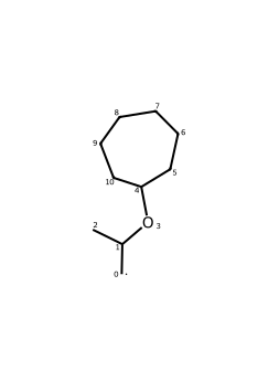 [CH2]C(C)OC1CCCCCC1